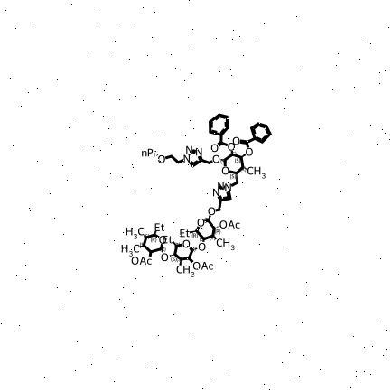 CCCOCCn1cc(CO[C@H]2O[C@H](Cn3cc(CO[C@@H]4O[C@H](CC)[C@@H](O[C@H]5O[C@H](CC)[C@@H](O[C@H]6O[C@H](CC)[C@@H](C)[C@H](C)C6OC(C)=O)[C@H](C)C5OC(C)=O)[C@H](C)[C@H]4OC(C)=O)nn3)[C@@H](C)[C@H](OC(=O)c3ccccc3)[C@@H]2OC(=O)c2ccccc2)nn1